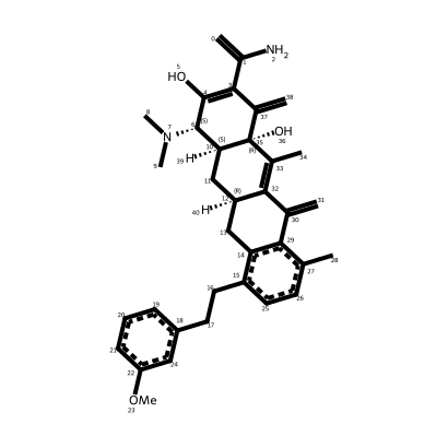 C=C(N)C1=C(O)[C@@H](N(C)C)[C@@H]2C[C@@H]3Cc4c(CCc5cccc(OC)c5)ccc(C)c4C(=C)C3=C(C)[C@]2(O)C1=C